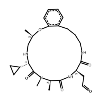 C[C@@H]1CN[C@@H](C2CC2)C(=O)N(C)[C@H](C)C(=O)N[C@H](CC=O)C(=O)NCCCc2ccccc2O1